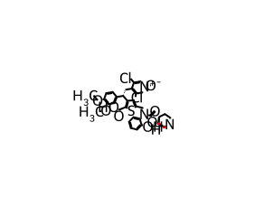 COc1ccc([C@H](Cc2c(Cl)c[n+]([O-])cc2Cl)c2cc(CN(C(=O)O[C@H]3CN4CCC3CC4)c3ccccc3O)sc2C(=O)O)cc1OC